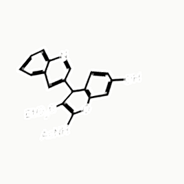 CCOC(=O)C1=C(NC(C)=O)Oc2cc(O)ccc2C1c1cnc2ccccc2c1